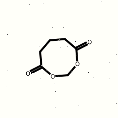 O=C1CCCC(=O)OCO1